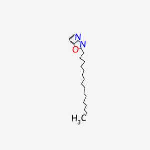 CCCCCCCCCCCCCCCCc1nc2ncccc2o1